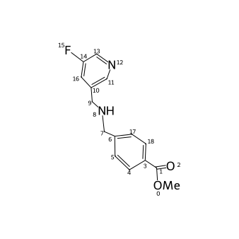 COC(=O)c1ccc(CNCc2cncc(F)c2)cc1